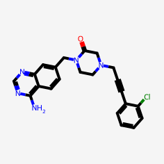 Nc1ncnc2cc(CN3CCN(CC#Cc4ccccc4Cl)CC3=O)ccc12